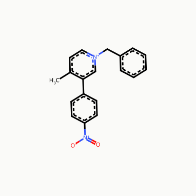 Cc1cc[n+](Cc2ccccc2)cc1-c1ccc([N+](=O)[O-])cc1